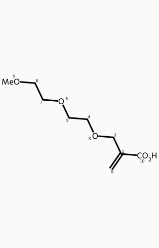 C=C(COCCOCCOC)C(=O)O